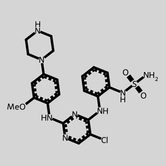 COc1cc(N2CCNCC2)ccc1Nc1ncc(Cl)c(Nc2ccccc2NS(N)(=O)=O)n1